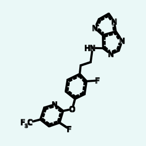 Fc1cc(Oc2ncc(C(F)(F)F)cc2F)ccc1CCNc1ncnc2nccnc12